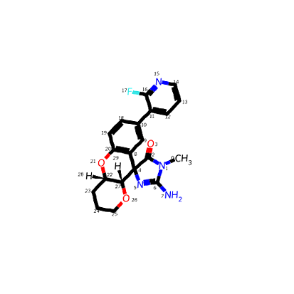 CN1C(=O)C2(N=C1N)c1cc(-c3cccnc3F)ccc1O[C@H]1CCCO[C@H]12